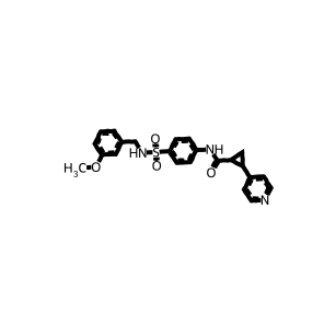 COc1cccc(CNS(=O)(=O)c2ccc(NC(=O)C3CC3c3ccncc3)cc2)c1